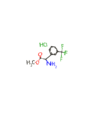 COC(=O)C(N)c1cccc(C(F)(F)F)c1.Cl